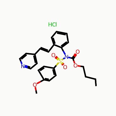 CCCCOC(=O)N(c1ccccc1C=Cc1ccncc1)S(=O)(=O)c1ccc(OC)cc1.Cl